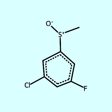 C[S+]([O-])c1cc(F)cc(Cl)c1